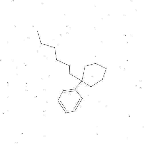 CCCCCCC1(c2ccccc2)CCCCC1